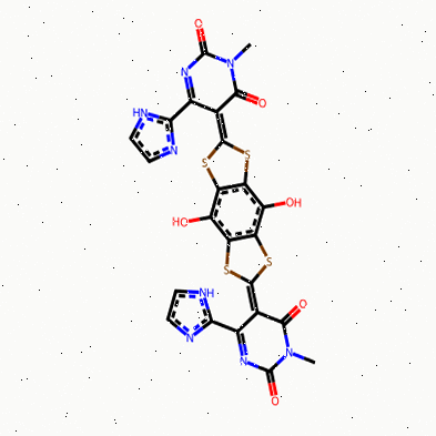 CN1C(=O)N=C(c2ncc[nH]2)C(=C2Sc3c(O)c4c(c(O)c3S2)SC(=C2C(=O)N(C)C(=O)N=C2c2ncc[nH]2)S4)C1=O